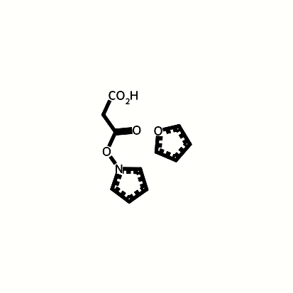 O=C(O)CC(=O)On1cccc1.c1ccoc1